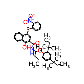 CCCC(NC(=O)c1cc(Sc2ccccc2[N+](=O)[O-])c2ccccc2c1O)Oc1ccc(C(C)(C)CC)cc1C(C)(C)CC